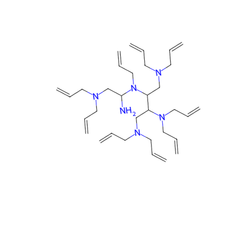 C=CCN(CC=C)CC(C(CN(CC=C)CC=C)N(CC=C)C(N)CN(CC=C)CC=C)N(CC=C)CC=C